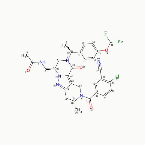 CC(=O)NC[C@H]1CN([C@@H](C)c2ccc(OC(F)F)cc2)C(=O)c2c3c(nn21)C[C@@H](C)N(C(=O)c1ccc(Cl)c(C#N)c1)C3